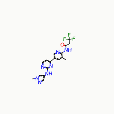 Cc1cc(-c2ccnc(Nc3cnn(C)c3)n2)cnc1NC(=O)CC(F)(F)F